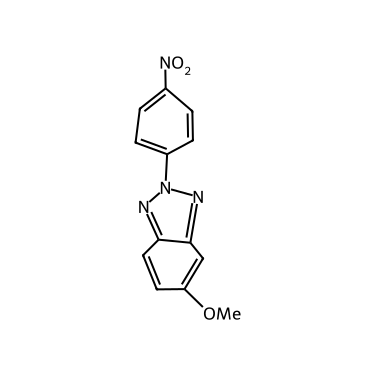 COc1ccc2nn(-c3ccc([N+](=O)[O-])cc3)nc2c1